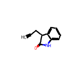 C#CCC1C(=O)Nc2ccccc21